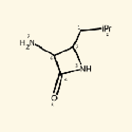 CC(C)CC1NC(=O)C1N